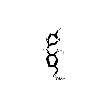 COOCc1ccc(Nc2cnc(Br)cn2)c(N)c1